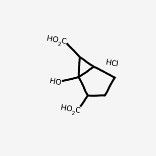 Cl.O=C(O)C1CCC2C(C(=O)O)C12O